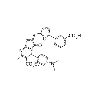 CCOC(=O)C1=C(C)N=c2sc(=Cc3ccc(-c4cccc(C(=O)O)c4)o3)c(=O)n2C1c1ccc(N(C)C)cc1